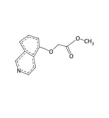 COC(=O)COc1cccc2cnccc12